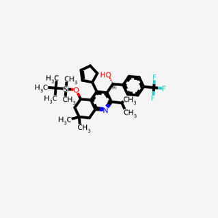 CC(C)c1nc2c(c(C3C=CCC3)c1[C@H](O)c1ccc(C(F)(F)F)cc1)C(O[Si](C)(C)C(C)(C)C)CC(C)(C)C2